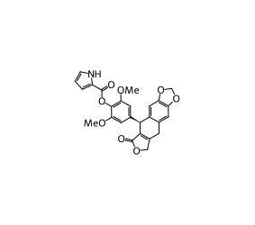 COc1cc([C@@H]2C3=C(COC3=O)Cc3cc4c(cc32)OCO4)cc(OC)c1OC(=O)c1ccc[nH]1